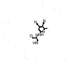 Cc1nc(N/N=C(\C=N)C=O)cc(C#N)c1C#N